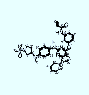 C=CC(=O)Nc1cccc(Oc2nc(Nc3ccc(N(C)[C@H]4CCN(S(C)(=O)=O)C4)cc3)nc3c2ncn3C2CCCCO2)c1